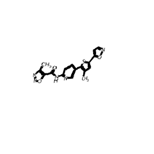 Cc1cc(-c2ccno2)sc1-c1ccc(NC(=O)c2onnc2C)nc1